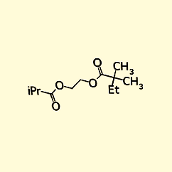 CCC(C)(C)C(=O)OCCOC(=O)C(C)C